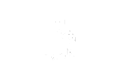 O=C(c1ccc(OC(F)(F)F)cc1)N1CCC(c2ncnc3cc(OCCO)ccc23)CC1